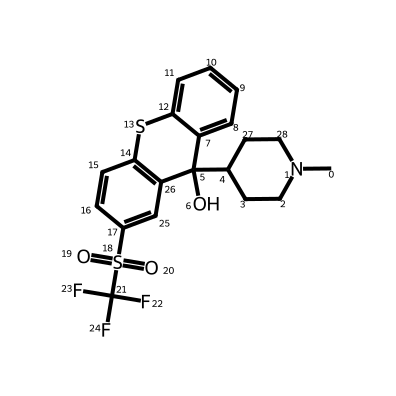 CN1CCC(C2(O)c3ccccc3Sc3ccc(S(=O)(=O)C(F)(F)F)cc32)CC1